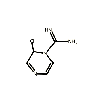 N=C(N)N1C=CN=CC1Cl